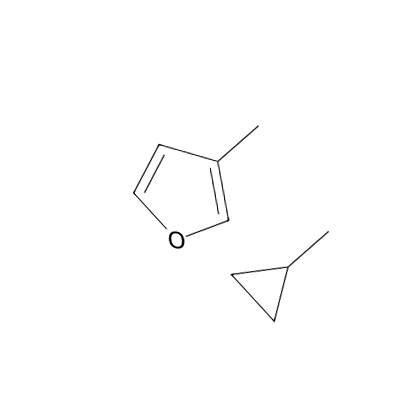 CC1CC1.Cc1ccoc1